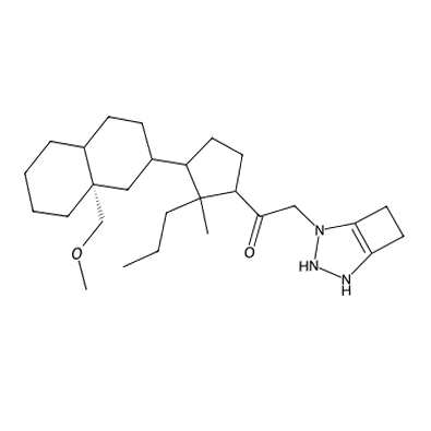 CCCC1(C)C(C(=O)CN2NNC3=C2CC3)CCC1C1CCC2CCCC[C@]2(COC)C1